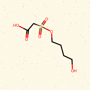 O=C(O)CS(=O)(=O)OCCCCO